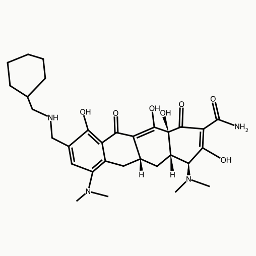 CN(C)c1cc(CNCC2CCCCC2)c(O)c2c1C[C@H]1C[C@H]3[C@H](N(C)C)C(O)=C(C(N)=O)C(=O)[C@@]3(O)C(O)=C1C2=O